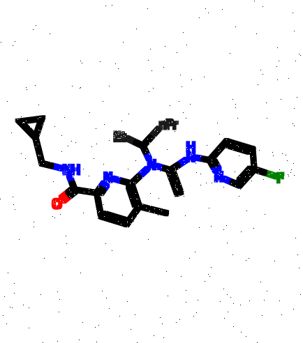 C=C(Nc1ccc(F)cn1)N(c1nc(C(=O)NCC2CC2)ccc1C)C(CC)CCC